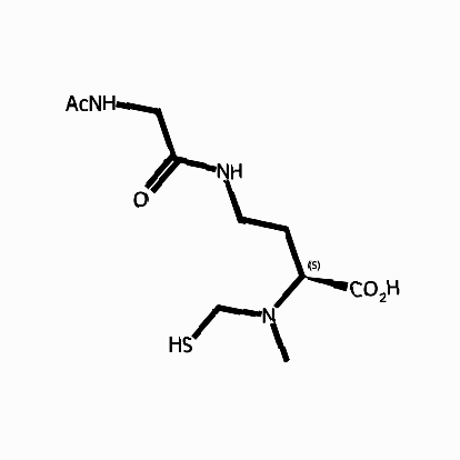 CC(=O)NCC(=O)NCC[C@@H](C(=O)O)N(C)CS